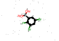 OB(O)c1cc(Br)cc(Br)c1F